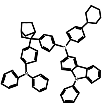 c1ccc(N(c2ccccc2)c2ccc(C3(c4ccc(N(c5ccc(C6CCCCC6)cc5)c5ccc6c(c5)c5ccccc5n6-c5ccccc5)cc4)CC4CCC3C4)cc2)cc1